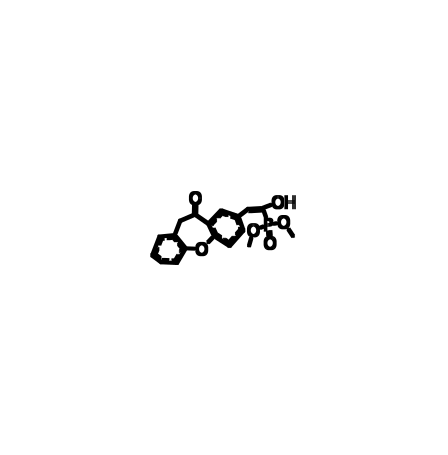 COP(=O)(OC)C(O)=Cc1ccc2c(c1)C(=O)Cc1ccccc1O2